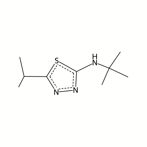 CC(C)c1nnc(NC(C)(C)C)s1